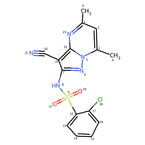 Cc1cc(C)n2nc(NS(=O)(=O)c3ccccc3Cl)c(C#N)c2n1